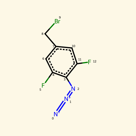 [N-]=[N+]=Nc1c(F)cc(CBr)cc1F